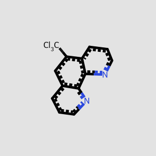 ClC(Cl)(Cl)c1cc2cccnc2c2ncccc12